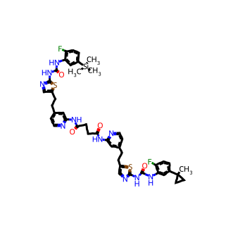 CC1(c2ccc(F)c(NC(=O)Nc3ncc(CCc4ccnc(NC(=O)CCC(=O)Nc5cc(CCc6cnc(NC(=O)Nc7cc([Si](C)(C)C)ccc7F)s6)ccn5)c4)s3)c2)CC1